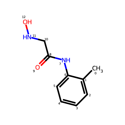 Cc1ccccc1NC(=O)CNO